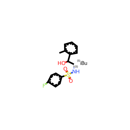 CC[C@H](C)[C@H](NS(=O)(=O)c1ccc(F)cc1)C(O)c1ccccc1C